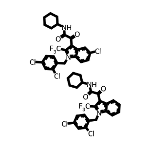 O=C(NC1CCCCC1)C(=O)c1c(C(F)(F)F)n(Cc2ccc(Cl)cc2Cl)c2ccc(Cl)cc12.O=C(NC1CCCCC1)C(=O)c1c(C(F)(F)F)n(Cc2ccc(Cl)cc2Cl)c2ccccc12